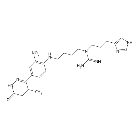 CC1CC(=O)NN=C1c1ccc(NCCCCN(CCCc2c[nH]cn2)C(=N)N)c([N+](=O)[O-])c1